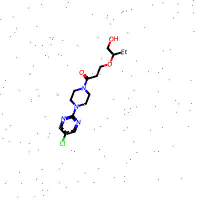 CCC(CO)OCCC(=O)N1CCN(c2ncc(Cl)cn2)CC1